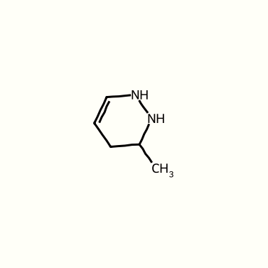 CC1CC=CNN1